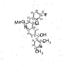 COc1nc2ccc(C(O)c3ccc(C)nc3C)cc2c(Cl)c1Cc1ccc(CF)cc1